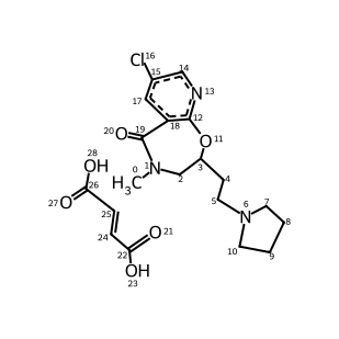 CN1CC(CCN2CCCC2)Oc2ncc(Cl)cc2C1=O.O=C(O)/C=C/C(=O)O